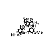 COc1cc(Nc2nc(NCc3cccc(NC(C)=O)c3)n3ccnc3c2C(N)=O)cc(OC)c1